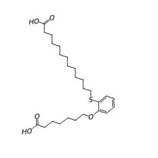 O=C(O)CCCCCCCCCCCCSc1ccccc1OCCCCCCC(=O)O